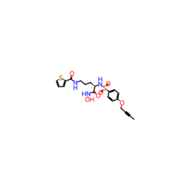 CC#CCOc1ccc(S(=O)(=O)N[C@H](CCCNC(=O)c2cccs2)C(=O)NO)cc1